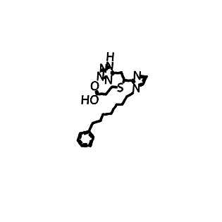 O=C(O)CCSC(Cc1nnn[nH]1)c1nccn1CCCCCCCCc1ccccc1